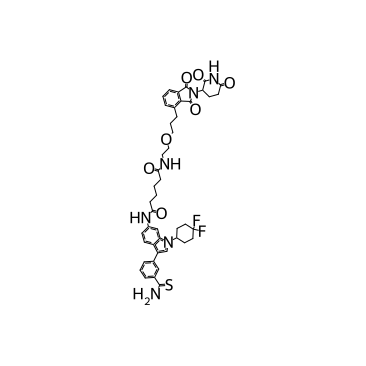 NC(=S)c1cccc(-c2cn(C3CCC(F)(F)CC3)c3cc(NC(=O)CCCCC(=O)NCCOCCCc4cccc5c4C(=O)N(C4CCC(=O)NC4=O)C5=O)ccc23)c1